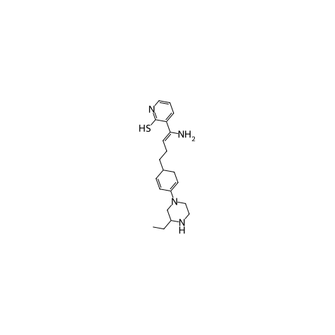 CCC1CN(C2=CCC(CC/C=C(\N)c3cccnc3S)C=C2)CCN1